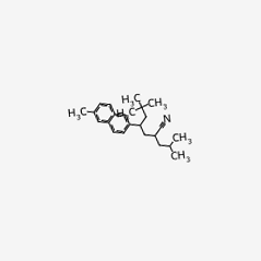 Cc1ccc2cc(C(CC(C#N)CC(C)C)CC(C)(C)C)ccc2c1